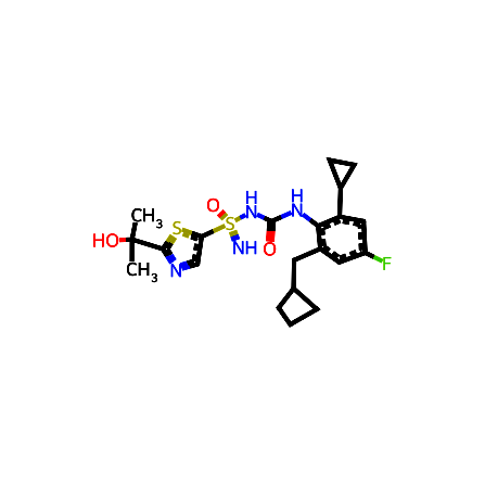 CC(C)(O)c1ncc(S(=N)(=O)NC(=O)Nc2c(CC3CCC3)cc(F)cc2C2CC2)s1